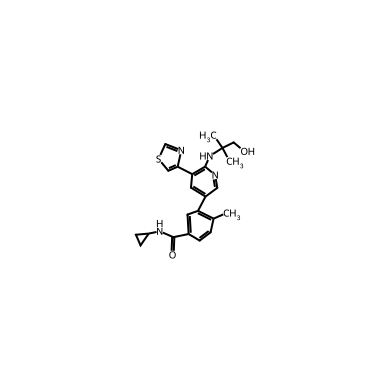 Cc1ccc(C(=O)NC2CC2)cc1-c1cnc(NC(C)(C)CO)c(-c2cscn2)c1